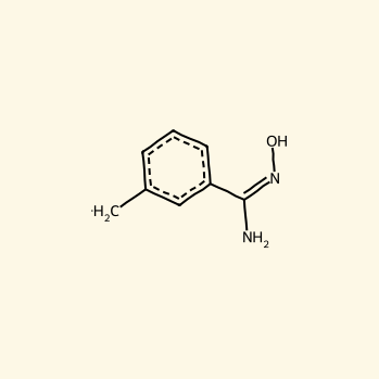 [CH2]c1cccc(/C(N)=N\O)c1